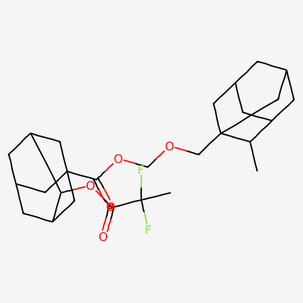 CC1C2CC3CC(C2)CC1(COCOC(=O)C12CC4CC(C1)C(OC(=O)C(C)(F)F)C(C4)C2)C3